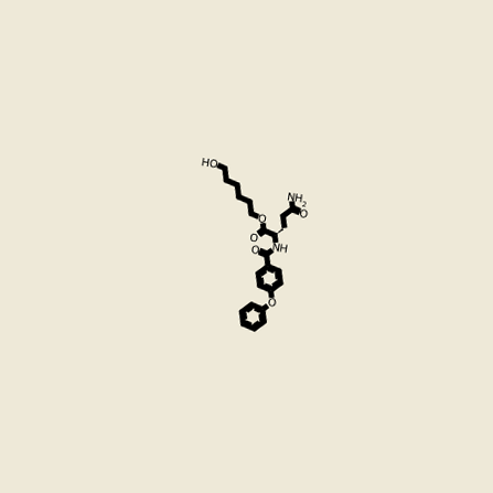 NC(=O)CC[C@H](NC(=O)c1ccc(Oc2ccccc2)cc1)C(=O)OCCCCCCO